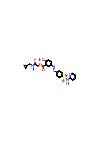 O=C(COC(=O)c1cc(N=Nc2ccc(S(=O)(=O)Nc3ccccn3)cc2)ccc1O)NCC1CC1